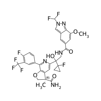 COc1cc(C(=O)NCC(O)(c2cc3c(c(-c4ccc(F)c(C(F)(F)F)c4)n2)OC[C@]3(C)C(N)=O)C2(F)CC2)cc2cn(C(F)F)nc12